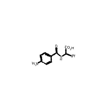 CC(C)C(NC(=O)c1ccc(N)cc1)C(=O)O